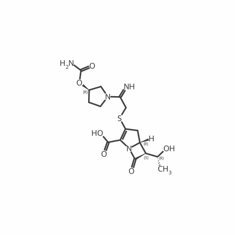 C[C@@H](O)[C@H]1C(=O)N2C(C(=O)O)=C(SCC(=N)N3CC[C@@H](OC(N)=O)C3)C[C@H]12